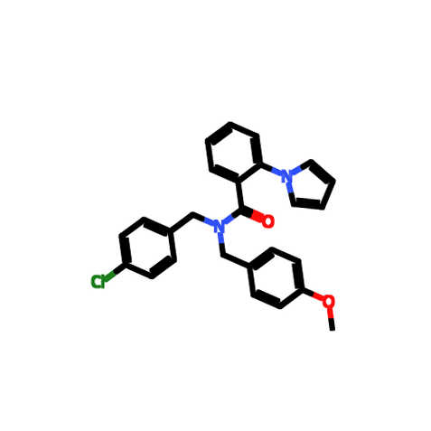 COc1ccc(CN(Cc2ccc(Cl)cc2)C(=O)c2ccccc2-n2cccc2)cc1